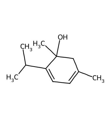 CC1=CC=C(C(C)C)C(C)(O)C1